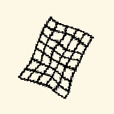 C1C2C3C4C5CC6C7C8C9C%10C%11CC%12C%13C%14C%15CC%16C%17C%18C%19C%20C1C21C32C43C56C74C85C96C%107C%12%11C%138C%149C%15%16C%17%10C%18%11C%19%12C%201C21C34C52C%121C%111C9%10C87C621